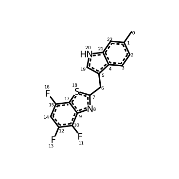 Cc1ccc2c(Cc3nc4c(F)c(F)cc(F)c4s3)c[nH]c2c1